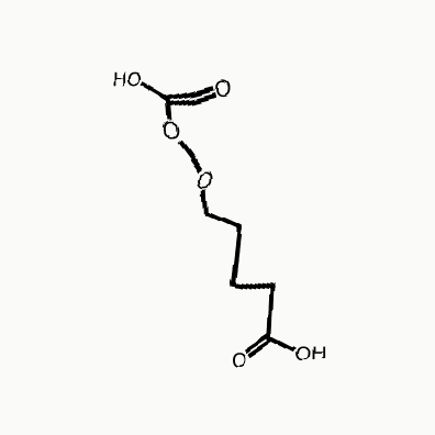 O=C(O)CCCCOOC(=O)O